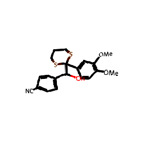 COc1ccc(C2(C(O)c3ccc(C#N)cc3)SCCCS2)cc1OC